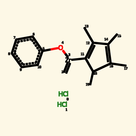 Cl.Cl.[CH2]=[Zr]([O]c1ccccc1)[C]1=C(C)C(C)=C(C)C1C